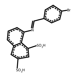 O=S(=O)(O)c1cc(S(=O)(=O)O)c2c(N=Cc3ccc(Br)cc3)cccc2c1